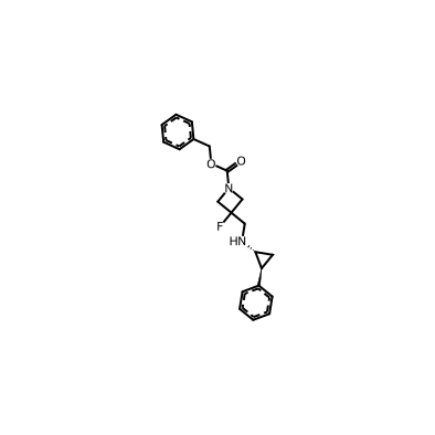 O=C(OCc1ccccc1)N1CC(F)(CN[C@@H]2C[C@H]2c2ccccc2)C1